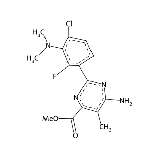 COC(=O)c1nc(-c2ccc(Cl)c(N(C)C)c2F)nc(N)c1C